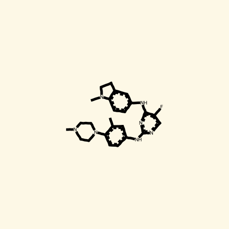 Cc1cc(Nc2ncc(F)c(Nc3ccc4c(c3)CCN4C)n2)ccc1N1CCN(C)CC1